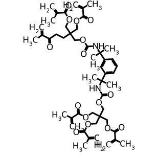 C=C(C)C(=O)CCC(COC(=O)NC(C)(C)c1cccc(C(C)(C)NC(=O)OCC(COC(=O)C(=C)C)(COC(=O)C(=C)C)COC(=O)C(=C)C)c1)(COC(=O)C(=C)C)COC(=O)C(=C)C